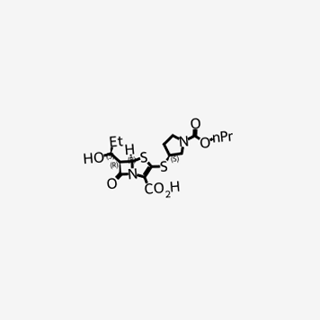 CCCOC(=O)N1CC[C@H](SC2=C(C(=O)O)N3C(=O)[C@@H]([C@@H](O)CC)[C@H]3S2)C1